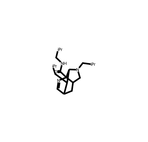 CC(C)CNC(=O)C12N=CC3CC1CN(CC(C)C)C2C3CC(C)C